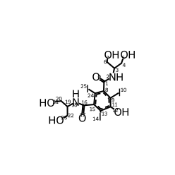 O=C(NC(CO)CO)c1c(I)c(O)c(I)c(C(=O)NC(CO)CO)c1I